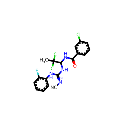 CC(Cl)(Cl)C(NC(=O)c1cccc(Cl)c1)N/C(=N/C#N)Nc1ccccc1F